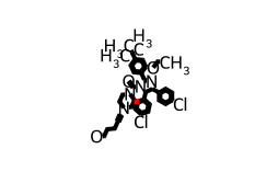 CCOc1cc(C(C)(C)C)ccc1C1=NC(c2ccc(Cl)cc2)C(c2ccc(Cl)cc2)N1C(=O)N1CCN(C#CCCC=O)CC1